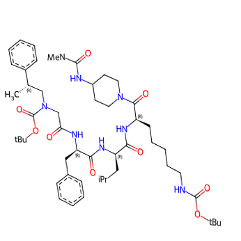 CNC(=O)NC1CCN(C(=O)[C@@H](CCCCCNC(=O)OC(C)(C)C)NC(=O)[C@@H](CC(C)C)NC(=O)[C@@H](Cc2ccccc2)NC(=O)CN(C[C@H](C)c2ccccc2)C(=O)OC(C)(C)C)CC1